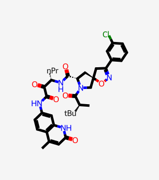 CCC[C@H](NC(=O)[C@@H]1C[C@]2(CC(c3cccc(Cl)c3)=NO2)CN1C(=O)[C@@H](C)C(C)(C)C)C(=O)C(=O)Nc1ccc2c(C)cc(=O)[nH]c2c1